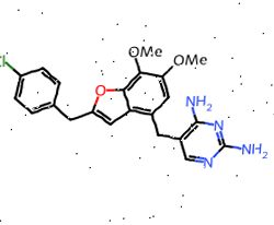 COc1cc(Cc2cnc(N)nc2N)c2cc(Cc3ccc(Cl)cc3)oc2c1OC